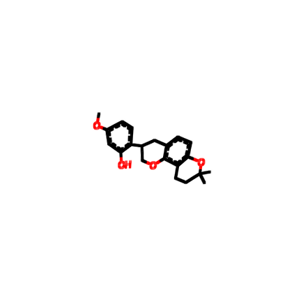 COc1ccc(C2COc3c(ccc4c3CCC(C)(C)O4)C2)c(O)c1